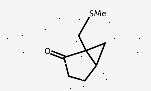 CSCC12CC1CCC2=O